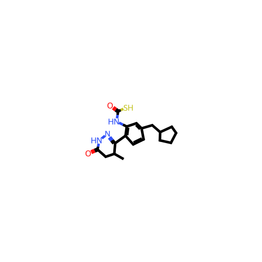 CC1CC(=O)NN=C1c1ccc(CC2CCCC2)cc1NC(=O)S